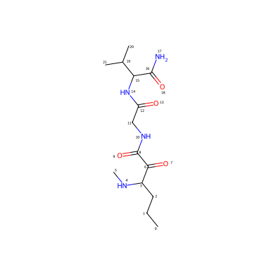 CCCC(NC)C(=O)C(=O)NCC(=O)NC(C(N)=O)C(C)C